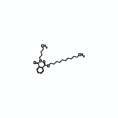 CCCCCCCCCCCOC(=O)c1ccccc1C(=O)OCCCCC